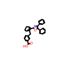 O=C(O)c1cccc(CC2C3CCC(C3)C2c2nc(-c3ccccc3)c(-c3ccccc3)o2)c1